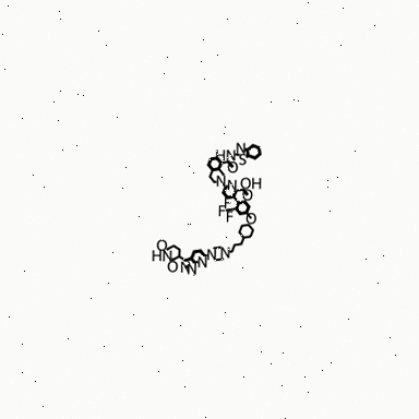 Cn1nc(C2CCC(=O)NC2=O)c2ccc(N3CCN(CCCC4CCC(Oc5ccc(-c6ccc(N7CCc8cccc(C(=O)Nc9nc%10ccccc%10s9)c8C7)nc6C(=O)O)c(C(F)(F)F)c5)CC4)CC3)nc21